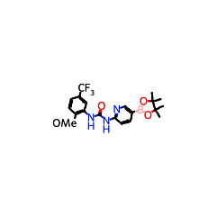 COc1ccc(C(F)(F)F)cc1NC(=O)Nc1ccc(B2OC(C)(C)C(C)(C)O2)cn1